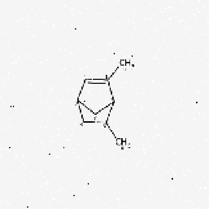 CC1=CC2CC(C)C1C2